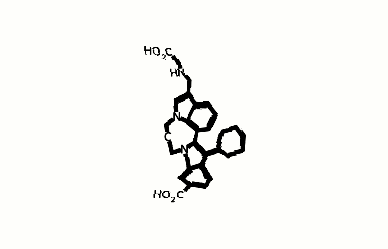 O=C(O)CNCc1cn2c3c(cccc13)-c1c(C3CCCCC3)c3ccc(C(=O)O)cc3n1CCC2